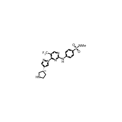 CNS(=O)(=O)c1ccc(Nc2ncc(C(F)(F)F)c(-n3cc([C@@H]4CCNC4)cn3)n2)cc1